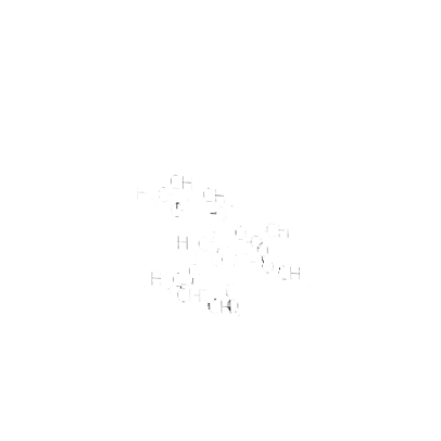 CCOC(=O)C1CC(CCC(=O)C(C)CCC(=O)C(C)C)CC(CC(=O)C(C)CCC(=O)C(C)CCC(=O)C(C)C)C1C(=O)OCC